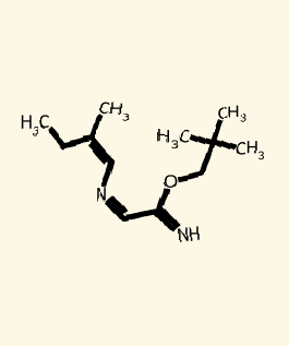 CC/C(C)=C\N=C/C(=N)OCC(C)(C)C